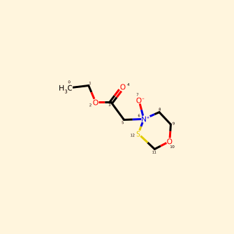 CCOC(=O)C[N+]1([O-])CCOCS1